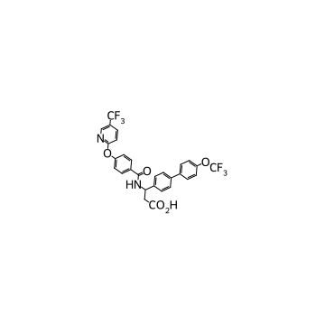 O=C(O)CC(NC(=O)c1ccc(Oc2ccc(C(F)(F)F)cn2)cc1)c1ccc(-c2ccc(OC(F)(F)F)cc2)cc1